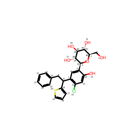 OC[C@H]1O[C@@H](c2cc(C(Cc3ccccc3)c3cccs3)c(Cl)cc2O)[C@H](O)[C@@H](O)[C@@H]1O